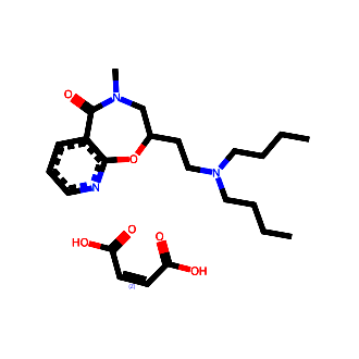 CCCCN(CCCC)CCC1CN(C)C(=O)c2cccnc2O1.O=C(O)/C=C\C(=O)O